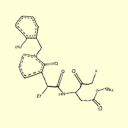 CCC(C(=O)NC(CC(=O)OC(C)(C)C)C(=O)CF)c1cccn(Cc2ccccc2C(C)(C)C)c1=O